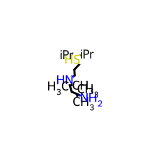 CC(C)[SH](CCCNC(C)(C)CC(C)(C)N)C(C)C